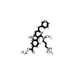 CNCCCN(C)c1nc(Cc2cccnc2)cc2[nH]c3cc(C(=O)OC)ccc3c12